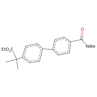 CCOC(=O)C(C)(C)c1ccc(-c2ccc(C(=O)NC)cc2)cc1